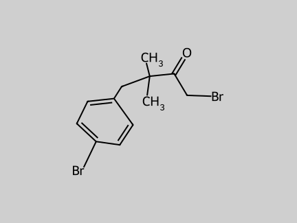 CC(C)(Cc1ccc(Br)cc1)C(=O)CBr